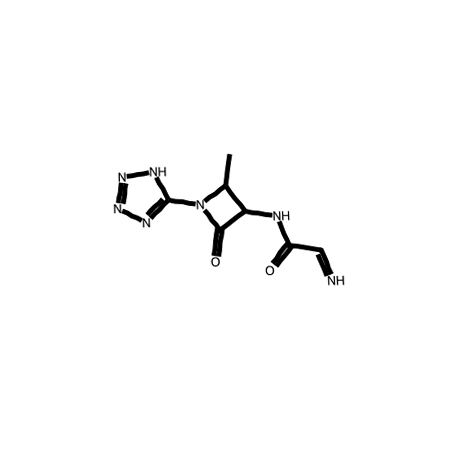 CC1C(NC(=O)C=N)C(=O)N1c1nnn[nH]1